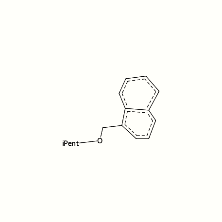 [CH2]C(CCC)OCc1cccc2ccccc12